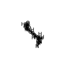 N#Cc1cnc2c(cnn2-c2cc(NC3CC3)c(C(=N)NCC(F)COCCOCCOCCNc3cccc4c3C(=O)N(C3CCC(=O)NC3=O)C4=O)cn2)c1